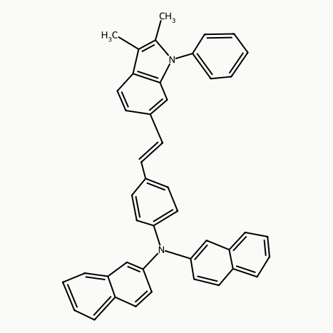 Cc1c(C)n(-c2ccccc2)c2cc(/C=C/c3ccc(N(c4ccc5ccccc5c4)c4ccc5ccccc5c4)cc3)ccc12